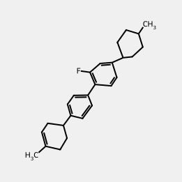 CC1=CCC(c2ccc(-c3ccc(C4CCC(C)CC4)cc3F)cc2)CC1